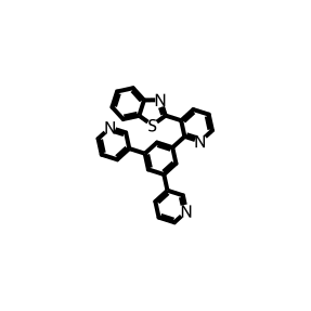 c1cncc(-c2cc(-c3cccnc3)cc(-c3ncccc3-c3nc4ccccc4s3)c2)c1